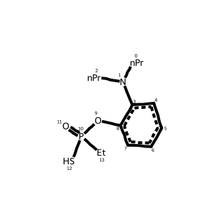 CCCN(CCC)c1ccccc1OP(=O)(S)CC